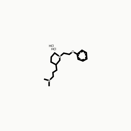 CN(C)CCCC1CCCN(CCOc2ccccc2)C1.Cl.Cl